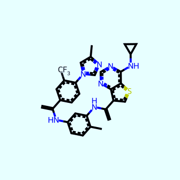 C=C(Nc1ccc(C)c(NC(=C)c2csc3c(NC4CC4)ncnc23)c1)c1ccc(-n2cnc(C)c2)c(C(F)(F)F)c1